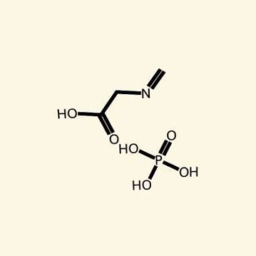 C=NCC(=O)O.O=P(O)(O)O